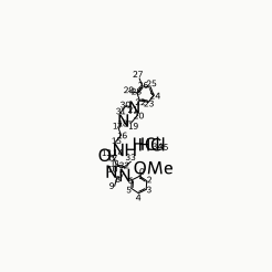 COc1ccccc1-n1c(C)nc(C(=O)NCCCN2CCN(c3cccc(C)c3C)CC2)c1C.Cl.Cl